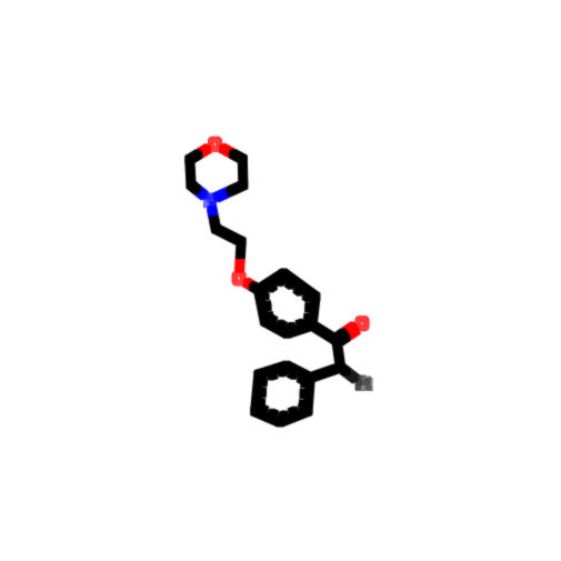 CCC(C(=O)c1ccc(OCCN2CCOCC2)cc1)c1ccccc1